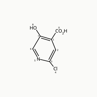 O=C(O)c1cc(Cl)ncc1O